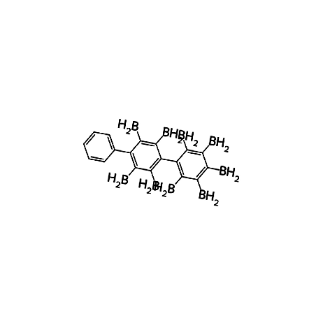 Bc1c(B)c(B)c(-c2c(B)c(B)c(-c3ccccc3)c(B)c2B)c(B)c1B